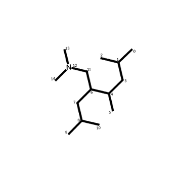 CC(C)CC(C)C(CC(C)C)CN(C)C